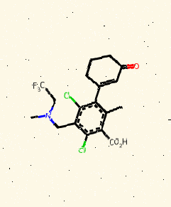 Cc1c(C(=O)O)c(Cl)c(CN(C)CC(F)(F)F)c(Cl)c1C1=CC(=O)CCC1